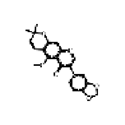 COc1c2c(cc3occ(-c4ccc5c(c4)OCO5)c(=O)c13)OC(C)(C)C=C2